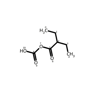 CCC(CC)C(=O)OC(=O)O